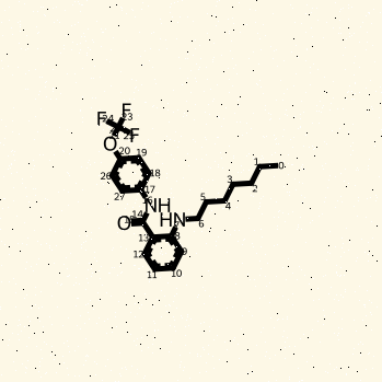 CCCCCCCNc1ccccc1C(=O)Nc1ccc(OC(F)(F)F)cc1